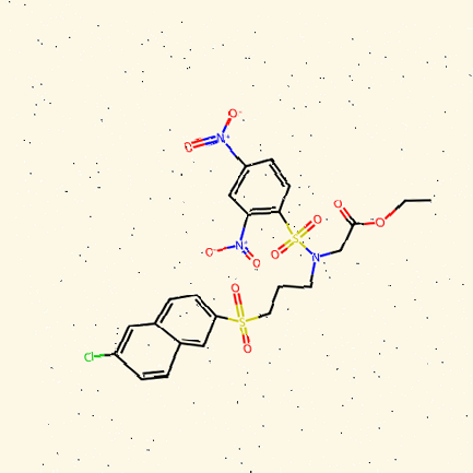 CCOC(=O)CN(CCCS(=O)(=O)c1ccc2cc(Cl)ccc2c1)S(=O)(=O)c1ccc([N+](=O)[O-])cc1[N+](=O)[O-]